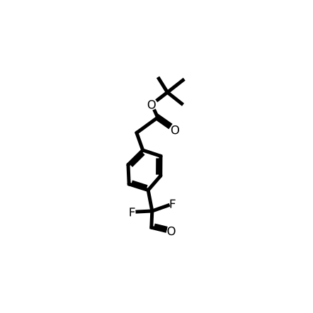 CC(C)(C)OC(=O)Cc1ccc(C(F)(F)C=O)cc1